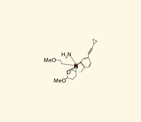 COCCN1C(=O)[C@]2(N=C1N)c1cc(C#CC3CC3)ccc1C[C@]21CC[C@H](OC)CC1